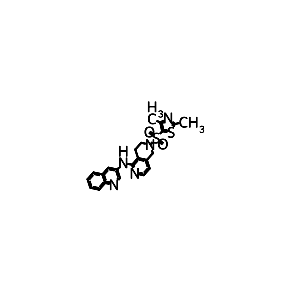 Cc1nc(C)c(S(=O)(=O)N2CCc3c(ccnc3Nc3cnc4ccccc4c3)C2)s1